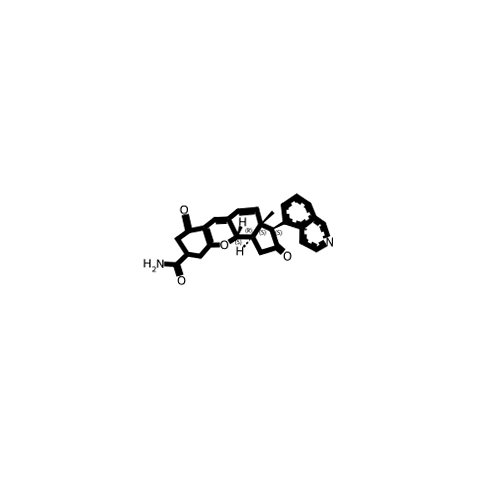 C[C@]12C=CC3=CC4=C(CC(C(N)=O)CC4=O)O[C@H]3[C@@H]1CC(=O)[C@@H]2c1cccc2cnccc12